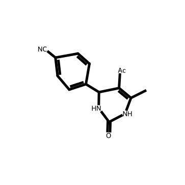 CC(=O)C1=C(C)NC(=O)NC1c1ccc(C#N)cc1